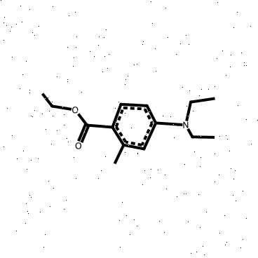 CCOC(=O)c1ccc(N(CC)CC)cc1C